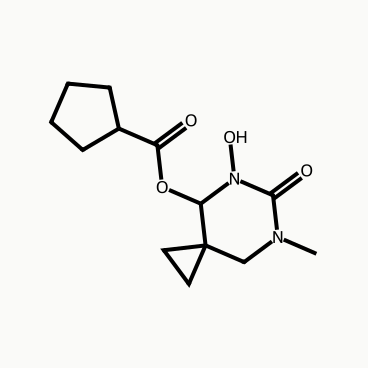 CN1CC2(CC2)C(OC(=O)C2CCCC2)N(O)C1=O